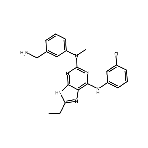 CCc1nc2c(Nc3cccc(Cl)c3)nc(N(C)c3cccc(CN)c3)nc2[nH]1